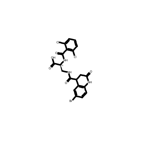 O=C1CC(C(=O)NC[C@H](NC(=O)c2c(Cl)cccc2Cl)C(=O)O)c2cc(Br)ccc2N1